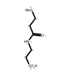 CSCCC(=O)NCCS(=O)(=O)O